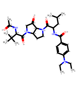 CCN(CC)c1ccc(C(=O)NC(CC(C)C)C(=O)N2CCC3C2C(=O)CN3C(=O)C(NC(C)=O)C(C)(C)C)cc1